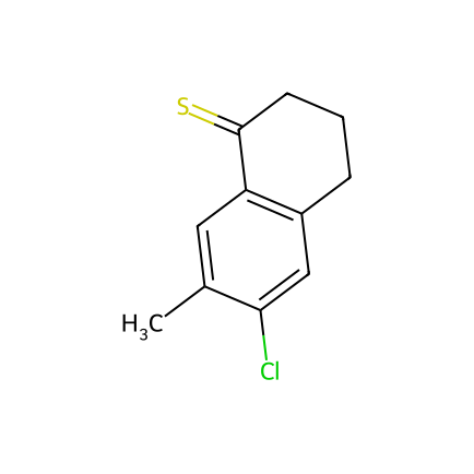 Cc1cc2c(cc1Cl)CCCC2=S